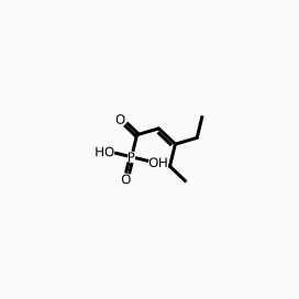 CCC(=CC(=O)P(=O)(O)O)CC